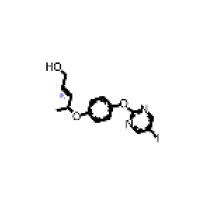 CC(/C=C/CO)Oc1ccc(Oc2ncc(I)cn2)cc1